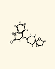 O=C1CC(C2CCC3(CC2)OCCO3)c2ccccc2N1